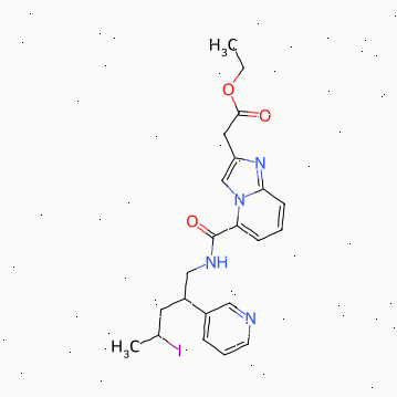 CCOC(=O)Cc1cn2c(C(=O)NCC(CC(C)I)c3cccnc3)cccc2n1